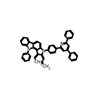 C=C/C=c1\c(=C/C)c2c(ccc3c4ccccc4n(-c4ccccc4)c32)n1-c1ccc(-c2cc(-c3ccccc3)cc(-c3ccccc3)n2)cc1